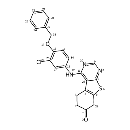 O=C1CCc2c(sc3ncnc(Nc4ccc(OCc5ccccc5)c(Cl)c4)c23)C1